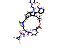 CO[C@@H](C)c1ncccc1-c1c2c3cc(ccc3n1CCN1CCCC1)C1N=C(C[C@H](NC(=O)[C@H]3[C@H](C)[C@@H]3C)C(=O)N3CCC[C@H](N3)C(=O)OCC(C)(C)C2)SC1C